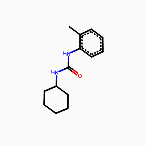 Cc1ccccc1NC(=O)NC1CCCCC1